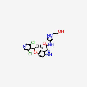 C[C@@H](Oc1ccc2[nH]nc(C(=O)Nc3cnn(CCO)c3)c2c1)c1c(Cl)cncc1Cl